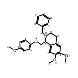 COc1ccc(OCC2c3cc(OC)c(OC)cc3CCN2Cc2ccccc2)cc1